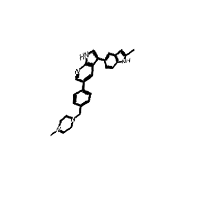 Cc1cc2cc(-c3c[nH]c4ncc(-c5ccc(CN6CCN(C)CC6)cc5)cc34)ccc2[nH]1